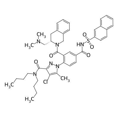 CCCCN(CCCC)C(=O)c1nn(-c2ccc(C(=O)NS(=O)(=O)c3ccc4ccccc4c3)cc2C(=O)N2Cc3ccccc3C[C@H]2CN(C)C)c(C)c1Cl